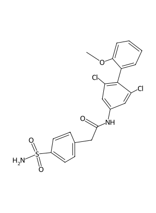 COc1ccccc1-c1c(Cl)cc(NC(=O)Cc2ccc(S(N)(=O)=O)cc2)cc1Cl